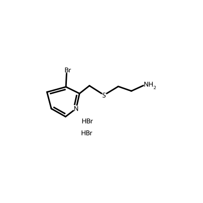 Br.Br.NCCSCc1ncccc1Br